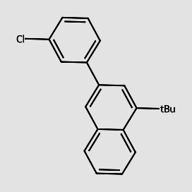 CC(C)(C)c1cc(-c2cccc(Cl)c2)cc2ccccc12